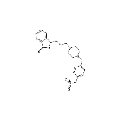 O=C1OC(CCCN2CCN(Cc3ccc(C[SH](=O)=O)cc3)CC2)c2ccccc21